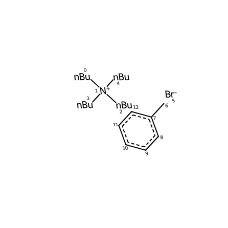 CCCC[N+](CCCC)(CCCC)CCCC.[Br-].[CH2]c1ccccc1